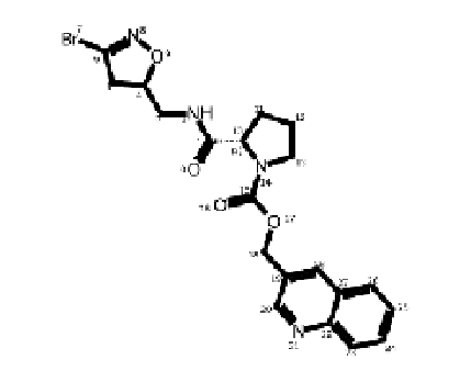 O=C(NCC1CC(Br)=NO1)[C@@H]1CCCN1C(=O)OCc1cnc2ccccc2c1